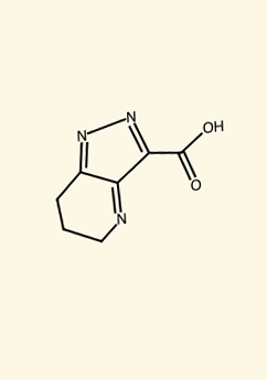 O=C(O)C1=NN=C2CCCN=C21